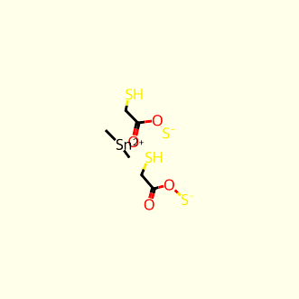 O=C(CS)O[S-].O=C(CS)O[S-].[CH3][Sn+2][CH3]